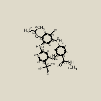 CNC(=O)c1ccccc1Nc1cc(Nc2cc(C)c(I)cc2OC(C)C)ncc1C(F)(F)F